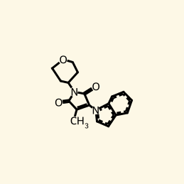 CC1=C(n2ccc3ccccc32)C(=O)N(C2CCOCC2)C1=O